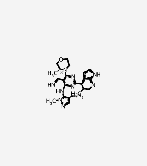 Cc1cnn(C)c1Nc1nc(C2=c3cc[nH]c3=NCC2C)nc(N2CCOC[C@H]2C)c1C=N